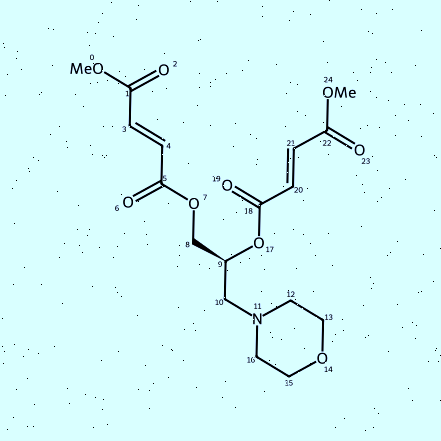 COC(=O)/C=C/C(=O)OC[C@H](CN1CCOCC1)OC(=O)/C=C/C(=O)OC